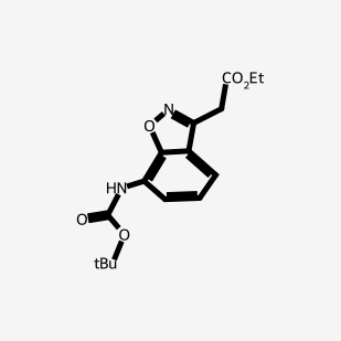 CCOC(=O)Cc1noc2c(NC(=O)OC(C)(C)C)cccc12